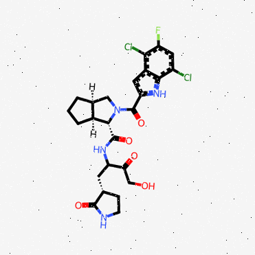 O=C(CO)C(C[C@@H]1CCNC1=O)NC(=O)[C@@H]1[C@H]2CCC[C@H]2CN1C(=O)c1cc2c(Cl)c(F)cc(Cl)c2[nH]1